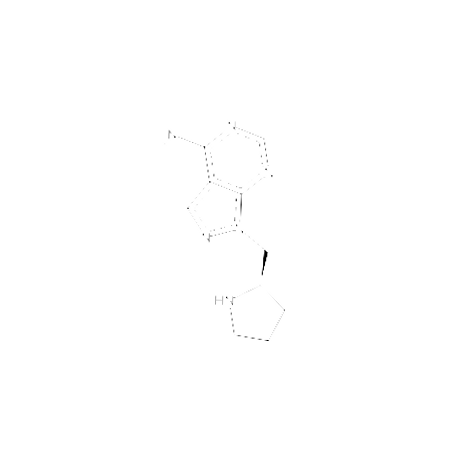 Nc1ncnc2c1cnn2C[C@H]1CCCN1